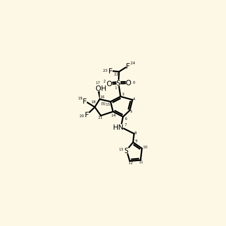 O=S(=O)(c1ccc(NCc2cccs2)c2c1[C@H](O)C(F)(F)C2)C(F)F